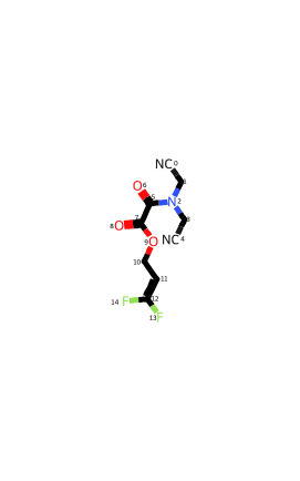 N#CCN(CC#N)C(=O)C(=O)OCC=C(F)F